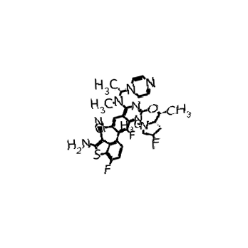 C[C@H](Oc1nc(N(C)[C@H](C)N2C=CN=CC2)c2cc(Cl)c(-c3ccc(F)c4sc(N)c(C#N)c34)c(F)c2n1)[C@@H]1C[C@@H](F)CN1C